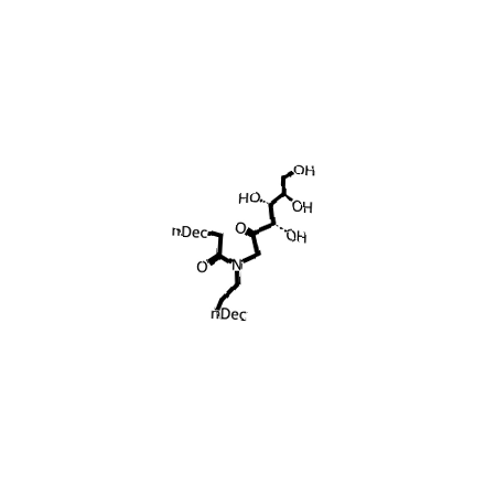 CCCCCCCCCCCCN(CC(=O)[C@@H](O)[C@H](O)[C@H](O)CO)C(=O)CCCCCCCCCCC